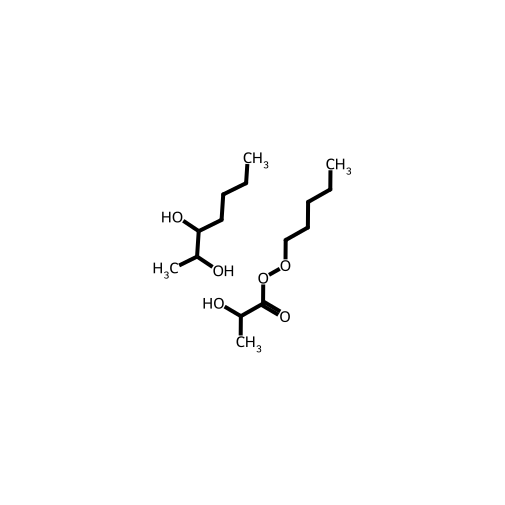 CCCCC(O)C(C)O.CCCCCOOC(=O)C(C)O